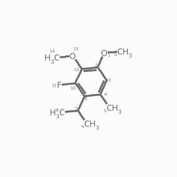 COc1cc(C)c(C(C)C)c(F)c1OC